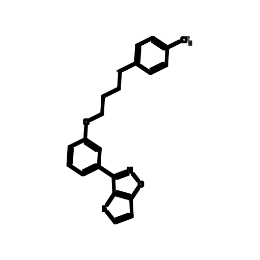 FC(F)(F)c1ccc([CH]CCCOc2cccc(-c3noc4ccsc34)c2)cc1